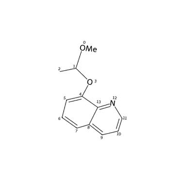 COC(C)Oc1cccc2cccnc12